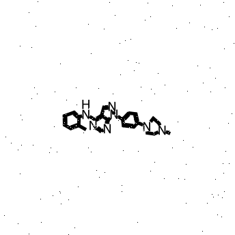 Cc1ccccc1Nc1ncnc2c1cnn2-c1ccc(N2CCN(C)CC2)cc1